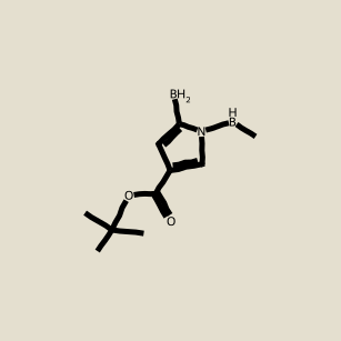 Bc1cc(C(=O)OC(C)(C)C)cn1BC